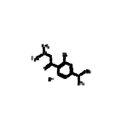 CCCCN(CCCC)c1ccc(C(=O)C[S+](C)C)c(CC)c1.[Br-]